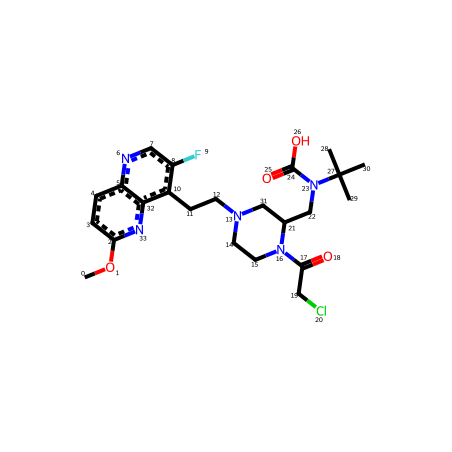 COc1ccc2ncc(F)c(CCN3CCN(C(=O)CCl)C(CN(C(=O)O)C(C)(C)C)C3)c2n1